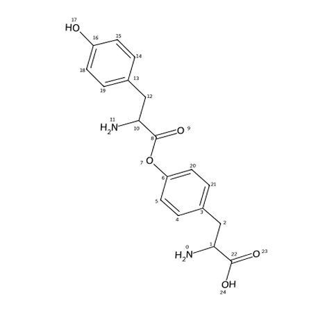 NC(Cc1ccc(OC(=O)C(N)Cc2ccc(O)cc2)cc1)C(=O)O